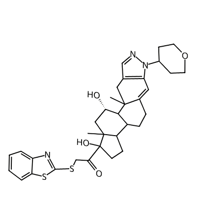 CC12Cc3cnn(C4CCOCC4)c3C=C1CCC1C2[C@@H](O)CC2(C)C1CCC2(O)C(=O)CSc1nc2ccccc2s1